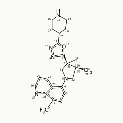 FC(F)(F)c1ccc(N2C[C@]3(c4nnc(C5CCNCC5)o4)C[C@]3(C(F)(F)F)C2)c2cccnc12